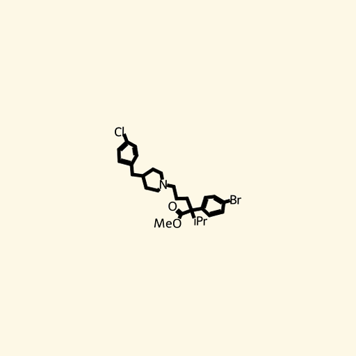 COC(=O)C(CCCN1CCC(Cc2ccc(Cl)cc2)CC1)(c1ccc(Br)cc1)C(C)C